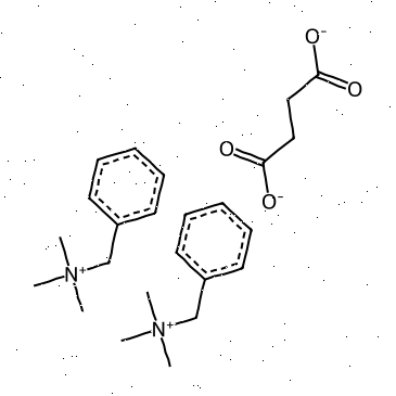 C[N+](C)(C)Cc1ccccc1.C[N+](C)(C)Cc1ccccc1.O=C([O-])CCC(=O)[O-]